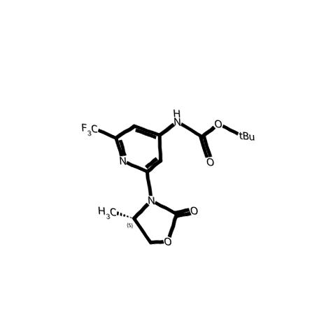 C[C@H]1COC(=O)N1c1cc(NC(=O)OC(C)(C)C)cc(C(F)(F)F)n1